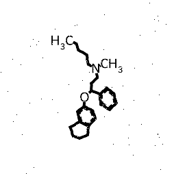 CCCCCN(C)CCC(Oc1ccc2c(c1)CCCC2)c1ccccc1